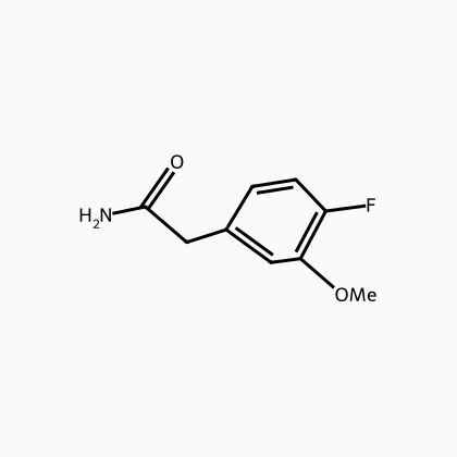 COc1cc(CC(N)=O)ccc1F